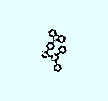 c1ccc(-c2cc(-c3ccccc3)nc(-n3ccnc3-c3ccc(-n4c5ccccc5c5ccccc54)cc3)n2)cc1